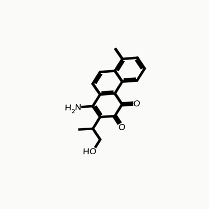 Cc1cccc2c3c(ccc12)C(N)=C(C(C)CO)C(=O)C3=O